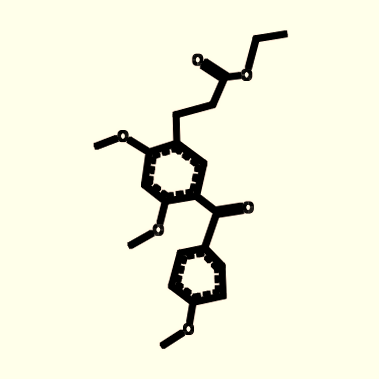 CCOC(=O)CCc1cc(C(=O)c2ccc(OC)cc2)c(OC)cc1OC